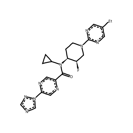 CCc1cnc(N2CC[C@H](N(C(=O)c3cnc(-n4cncn4)cn3)C3CC3)[C@H](F)C2)nc1